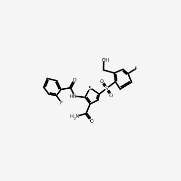 NC(=O)c1cc(S(=O)(=O)c2ccc(F)cc2CO)sc1NC(=O)c1ccccc1F